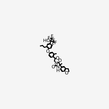 CCCc1cc(C(O)(C(F)(F)F)C(F)(F)F)ccc1Oc1ccc(C(=O)CN2C(=O)NC(C)(c3ccc4c(c3)CCO4)C2=O)c(C)c1